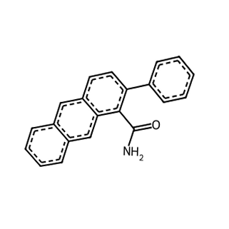 NC(=O)c1c(-c2ccccc2)ccc2cc3ccccc3cc12